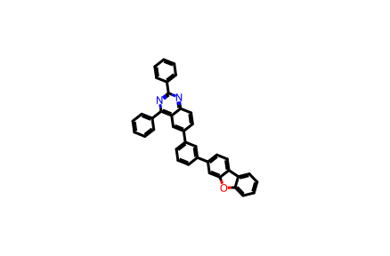 c1ccc(-c2nc(-c3ccccc3)c3cc(-c4cccc(-c5ccc6c(c5)oc5ccccc56)c4)ccc3n2)cc1